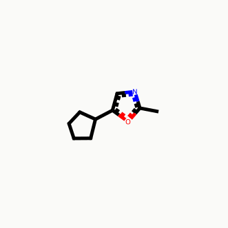 Cc1ncc(C2CCCC2)o1